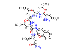 CSCC[C@H](NC(=O)[C@@H](N)CC(=O)O)C(=O)N[C@@H](CCC(=O)O)C(=O)N[C@@H](CCC(=O)O)C(=O)N[C@@H](Cc1ccccc1)C(=O)N[C@@H](CC(N)=O)C(=O)O